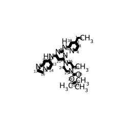 CCc1ccnc(Nc2nc(Nc3ccn4ccnc4c3)cc(N3CCN(C(=O)OC(C)(C)C)[C@H](C)C3)n2)c1